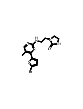 Cc1cnc(NCCN2CCNC2=O)nc1-c1ccc(Br)s1